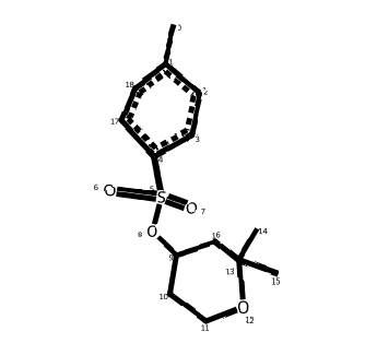 Cc1ccc(S(=O)(=O)OC2CCOC(C)(C)C2)cc1